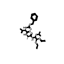 CCOC(OCC)C(NC(=O)[C@H](C)NC(=O)[C@@H](NC(=O)OCc1ccccc1)C(C)C)SC(C)C